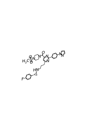 CS(=O)(=O)N1CCN(C(=O)c2cc(CCCNC3C[C@H]3c3ccc(F)cc3)nc(-c3ccc(-n4cccn4)cc3)n2)CC1